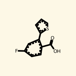 O=C(O)c1ccc(F)cc1-c1cccs1